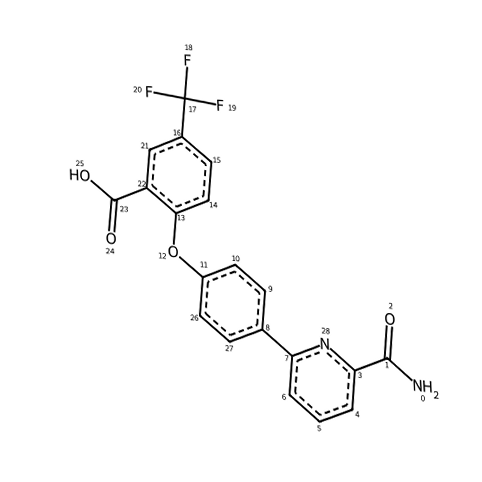 NC(=O)c1cccc(-c2ccc(Oc3ccc(C(F)(F)F)cc3C(=O)O)cc2)n1